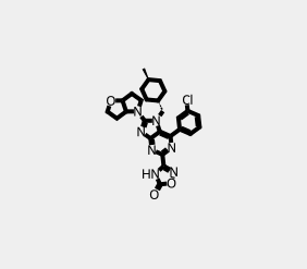 C[C@H]1CC[C@H](Cn2c(N3CCC4OCCC43)nc3nc(-c4noc(=O)[nH]4)nc(-c4cccc(Cl)c4)c32)CC1